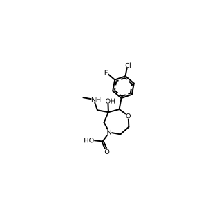 CNCC1(O)CN(C(=O)O)CCOC1c1ccc(Cl)c(F)c1